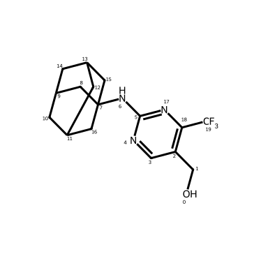 OCc1cnc(NC23CC4CC(CC(C4)C2)C3)nc1C(F)(F)F